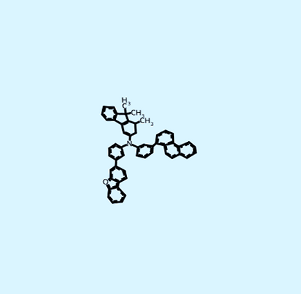 CC1CC(N(c2cccc(-c3ccc4c(c3)oc3ccccc34)c2)c2cccc(-c3cccc4c3ccc3ccccc34)c2)=CC2=C1C(C)(C)c1ccccc12